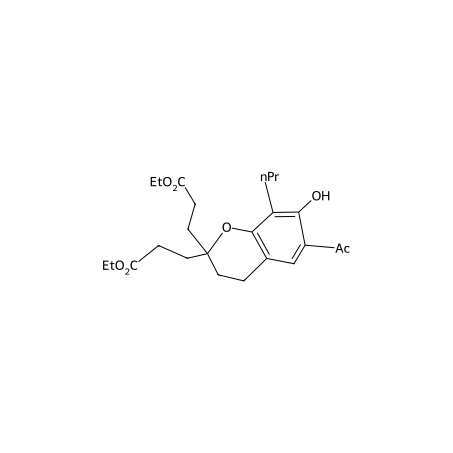 CCCc1c(O)c(C(C)=O)cc2c1OC(CCC(=O)OCC)(CCC(=O)OCC)CC2